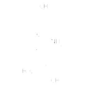 CC1CCC2C(C)(C)C2(N)C1